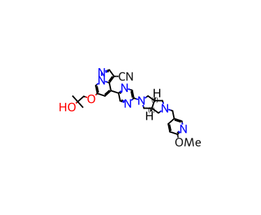 COc1ccc(CN2C[C@@H]3CN(c4cnc(-c5cc(OCC(C)(C)O)cn6ncc(C#N)c56)cn4)C[C@@H]3C2)cn1